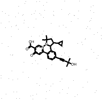 CC(C)(O)C#Cc1ccc2c(c1)C1C(C3CC3)CC(C)(C)N1n1cc(C(=O)O)c(=O)cc1-2